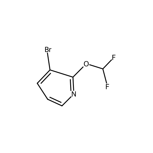 FC(F)Oc1ncccc1Br